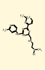 C/C=C\C(=N/CC(F)(F)F)C1=NC(CNCCN(C)CC)NC(Nc2ccnc(C(F)(F)F)c2)=N1